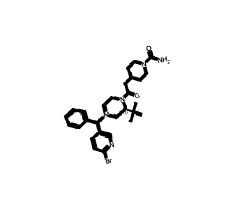 CC(C)(C)[C@H]1CN(C(c2ccccc2)c2ccc(Br)nc2)CCN1C(=O)CC1CCN(C(N)=O)CC1